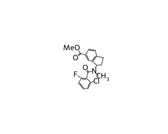 COC(=O)c1ccc2c(c1)[C@H](N(C)C(=O)c1c(F)cccc1Cl)CC2